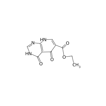 CCOC(=O)c1c[nH]c2nc[nH]c(=O)c2c1=O